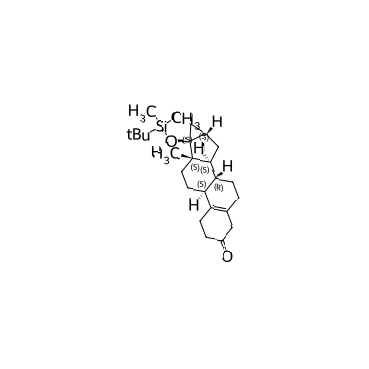 CC(C)(C)[Si](C)(C)O[C@@]12C[C@@H]1C[C@H]1[C@@H]3CCC4=C(CCC(=O)C4)[C@H]3CC[C@@]12C